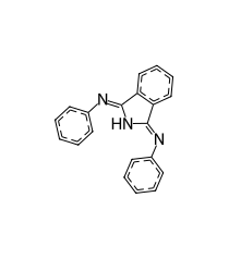 c1ccc(N=C2NC(=Nc3ccccc3)c3ccccc32)cc1